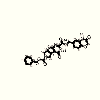 O=C1COc2ccc(CNC(=O)c3nc4sc5c(c4c(=O)[nH]3)CN(C(=O)OCc3ccccc3)C5)cc2N1